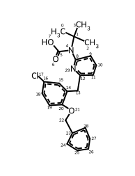 CC(C)(C)N(C(=O)O)c1cccc(Cc2cc(Cl)ccc2OCc2ccccc2)n1